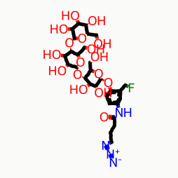 [N-]=[N+]=NCCCC(=O)Nc1ccc(O[C@@H]2OC(CO)[C@@H](O[C@H]3OC(CO)[C@@H](O[C@H]4OC(CO)[C@@H](O)C(O)C4O)C(O)C3O)C(O)C2O)c(CF)c1